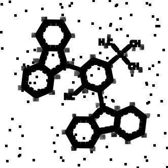 C[Si](C)(C)c1cc(-n2c3ccccc3c3ccccc32)c(C#N)c(-n2c3ccccc3c3ccccc32)c1